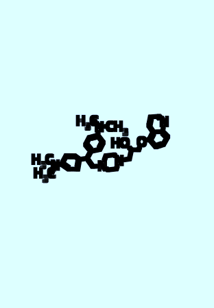 CN(C)c1ccc(C(CN2CCN(CC(O)COc3cccc4ncccc34)CC2)c2ccc(N(C)C)cc2)cc1